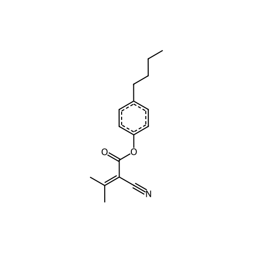 CCCCc1ccc(OC(=O)C(C#N)=C(C)C)cc1